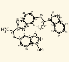 CC(C)c1noc2cc(CC(C)c3nc4cc(CC(C)c5onc6ccccc56)ccc4o3)ccc12